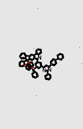 c1ccc(-c2ccc(-c3cc(-c4cc(-c5nc6ccccc6c6cc7c(cc56)C5(c6ccccc6-c6ccccc65)c5ccccc5-7)cc(P(c5ccccc5)c5ccccc5)c4)nc(-c4ccccc4)n3)cc2)cc1